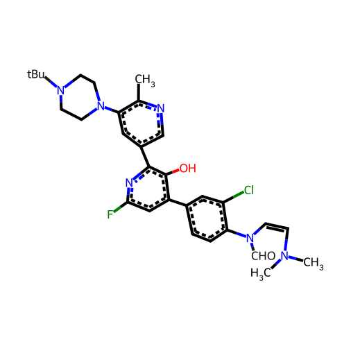 Cc1ncc(-c2nc(F)cc(-c3ccc(N(C=O)/C=C\N(C)C)c(Cl)c3)c2O)cc1N1CCN(C(C)(C)C)CC1